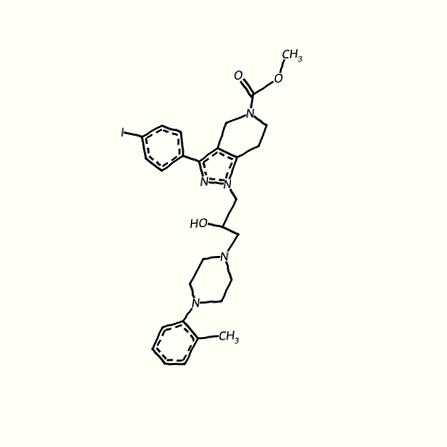 COC(=O)N1CCc2c(c(-c3ccc(I)cc3)nn2CC(O)CN2CCN(c3ccccc3C)CC2)C1